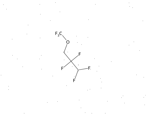 F[C](F)C(F)(F)COC(F)(F)F